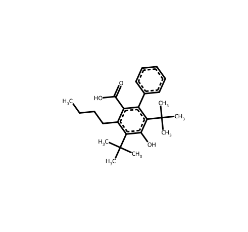 CCCCc1c(C(=O)O)c(-c2ccccc2)c(C(C)(C)C)c(O)c1C(C)(C)C